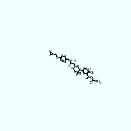 CC(OC(N)=O)c1cc(C2CN([C@@H](C)C(=O)Nc3ccc(OCC4CC4)nn3)CCC2(F)F)c[nH]c1=O